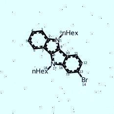 CCCCCCn1c2ccccc2c2c1c1ccc(Br)cc1n2CCCCCC